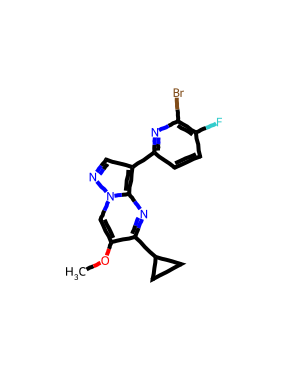 COc1cn2ncc(-c3ccc(F)c(Br)n3)c2nc1C1CC1